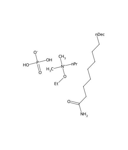 CCCCCCCCCCCCCCCCCC(N)=O.CCC[N+](C)(C)OCC.O=P([O-])(O)O